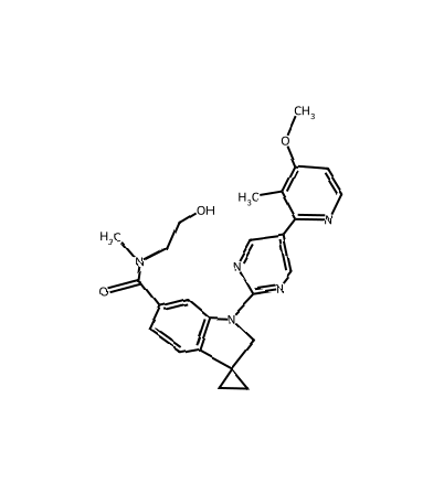 COc1ccnc(-c2cnc(N3CC4(CC4)c4ccc(C(=O)N(C)CCO)cc43)nc2)c1C